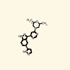 CC1CN(c2cc(-c3n[nH]c4ccc(-c5ccn[nH]5)cc34)ncn2)C[C@@H](C)O1